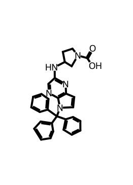 O=C(O)N1CCC(Nc2cnc3c(ccn3C(c3ccccc3)(c3ccccc3)c3ccccc3)n2)C1